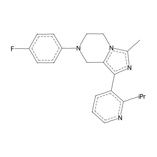 Cc1nc(-c2cccnc2C(C)C)c2n1CCN(c1ccc(F)cc1)C2